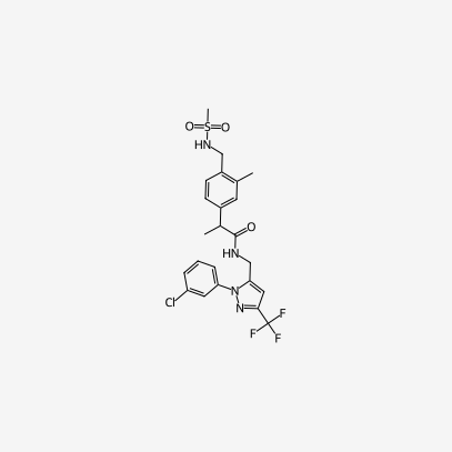 Cc1cc(C(C)C(=O)NCc2cc(C(F)(F)F)nn2-c2cccc(Cl)c2)ccc1CNS(C)(=O)=O